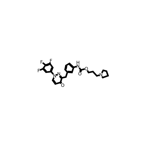 O=C(Nc1cccc(Cc2nn(-c3cc(F)c(F)c(F)c3)ccc2=O)c1)OCCCN1CCCC1